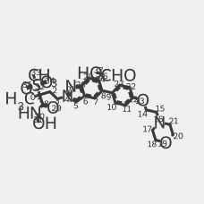 CC(CCn1cc2cc(-c3ccc(OCCN4CCOCC4)cc3)ccc2n1)(C(=O)NO)S(C)(=O)=O.O=CO